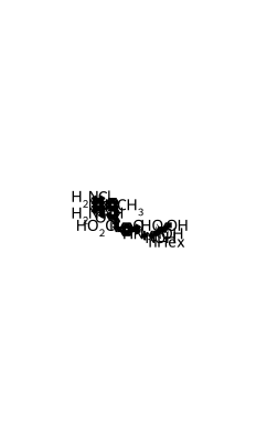 CCCCCCN(CCNC(=O)c1ccc(CN(CC(CNC(=O)c2nc(Cl)c(N)nc2N)Cc2ccccc2C)C(=O)O)cc1)C[C@@H](O)[C@H](O)[C@@H](O)CO